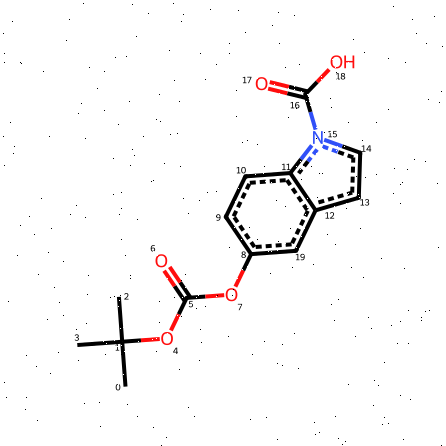 CC(C)(C)OC(=O)Oc1ccc2c(ccn2C(=O)O)c1